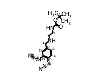 CC(C)(C)OC(=O)NCCNCc1ccc(N=[N+]=[N-])c(N=[N+]=[N-])c1